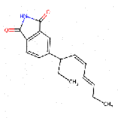 CC/C=C/C=C\C(CC)c1ccc2c(c1)C(=O)NC2=O